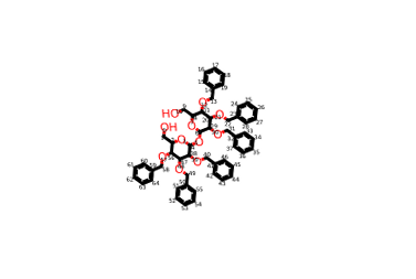 OCC1OC(OC2OC(CO)C(OCc3ccccc3)C(OCc3ccccc3)C2OCc2ccccc2)C(OCc2ccccc2)C(OCc2ccccc2)C1OCc1ccccc1